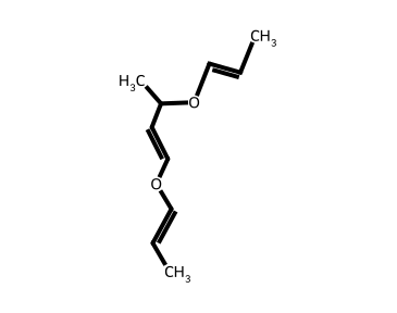 CC=COC=CC(C)OC=CC